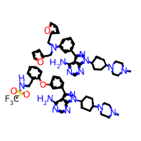 CN1CCN(C2CCC(n3nc(-c4cccc(N(Cc5ccco5)Cc5ccco5)c4)c4c(N)ncnc43)CC2)CC1.CN1CCN(C2CCC(n3nc(-c4cccc(Oc5ccccc5CNS(=O)(=O)C(F)(F)F)c4)c4c(N)ncnc43)CC2)CC1